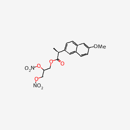 COc1ccc2cc([C@H](C)C(=O)OCC(CO[N+](=O)[O-])O[N+](=O)[O-])ccc2c1